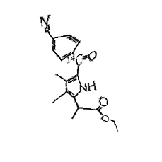 CCOC(=O)C(C)c1[nH]c([14C](=O)c2ccc(C#N)cc2)c(C)c1C